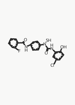 O=C(Nc1ccc(N(S)C(=O)Nc2cc(Cl)ccc2O)cc1)c1ccccc1F